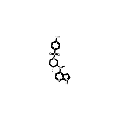 C[C@@H]1CCN(S(=O)(=O)c2ccc(C#N)cc2)C[C@H]1N(C)c1ccnc2[nH]ccc12